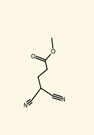 COC(=O)CCC(C#N)C#N